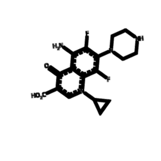 Nc1c(F)c(N2CCNCC2)c(F)c2c1c(=O)c(C(=O)O)cn2C1CC1